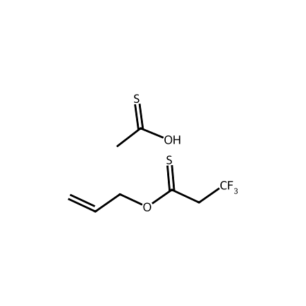 C=CCOC(=S)CC(F)(F)F.CC(O)=S